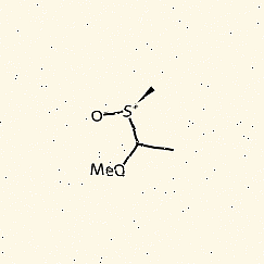 COC(C)[S@+](C)[O-]